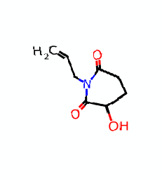 C=CCN1C(=O)CCC(O)C1=O